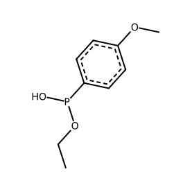 CCOP(O)c1ccc(OC)cc1